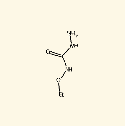 CCONC(=O)NN